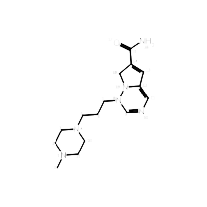 CN1CCN(CCCN2C=NC=C3C=C(C(N)=O)CN32)CC1